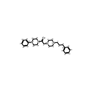 O=C(CN1CCN(CCCc2ccccc2)CC1)N1CCN(c2ccccc2)CC1